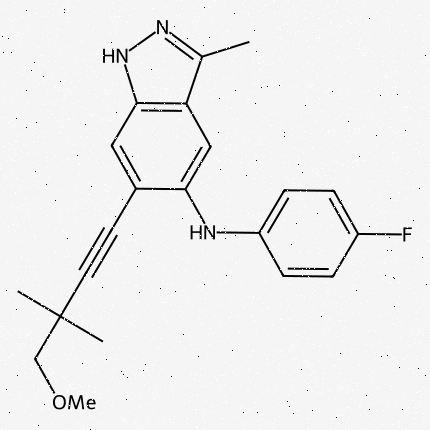 COCC(C)(C)C#Cc1cc2[nH]nc(C)c2cc1Nc1ccc(F)cc1